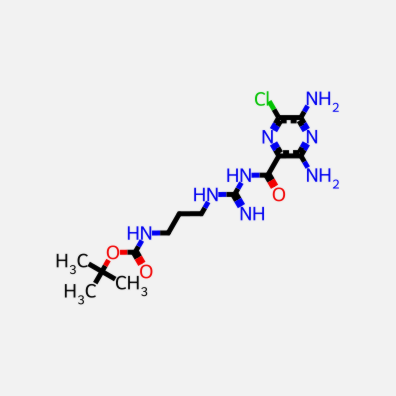 CC(C)(C)OC(=O)NCCCNC(=N)NC(=O)c1nc(Cl)c(N)nc1N